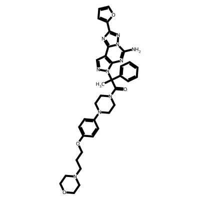 CC(C(=O)N1CCN(c2ccc(OCCCN3CCOCC3)cc2)CC1)(c1ccccc1)n1ncc2c1nc(N)n1nc(-c3ccco3)nc21